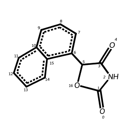 O=C1NC(=O)C(c2cccc3ccccc23)O1